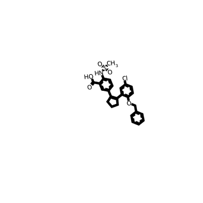 CS(=O)(=O)Nc1ccc(C2=C(c3cc(Cl)ccc3OCc3ccccc3)CCC2)cc1C(=O)O